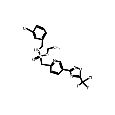 CCOP(=O)(Cc1ccc(-c2noc(C(F)(F)Cl)n2)cn1)NCc1cccc(Cl)c1